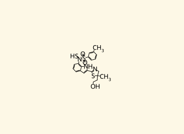 Cc1cccc(S(=O)(=O)N(S)c2cccc3cc(C4=NCC(C)(CCO)S4)[nH]c23)c1